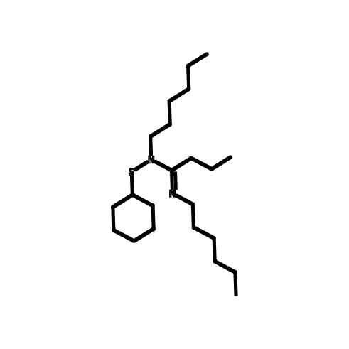 CCCCCCN=C(CCC)N(CCCCCC)SC1CCCCC1